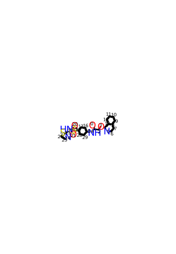 O=C(COc1nccc2ccccc12)Nc1ccc(S(=O)(=O)Nc2nccs2)cc1